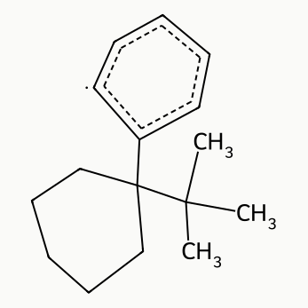 CC(C)(C)C1(c2[c]cccc2)CCCCC1